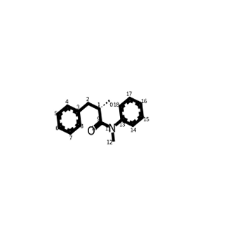 C[C@@H](Cc1ccccc1)C(=O)N(C)c1ccccc1